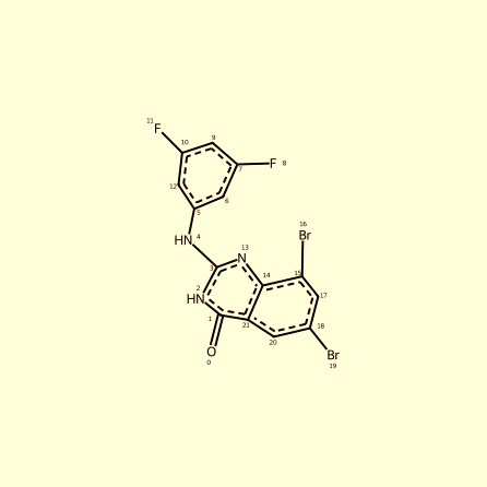 O=c1[nH]c(Nc2cc(F)cc(F)c2)nc2c(Br)cc(Br)cc12